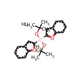 CC(C)(C)O[B-](OC(C)(C)C)(c1cc2ccccc2o1)c1cc2ccccc2o1.[LiH]